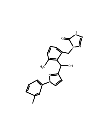 Cc1cccc(Cn2nn[nH]c2=O)c1C(O)c1ccn(-c2cccc(F)c2)n1